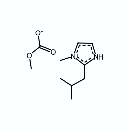 CC(C)Cc1[nH]cc[n+]1C.COC(=O)[O-]